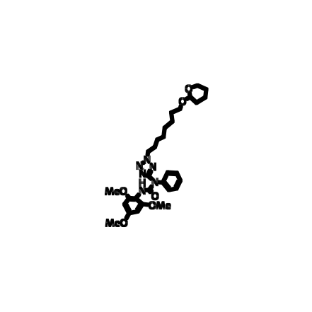 COc1cc(OC)c(NC(=O)N(c2ccccc2)c2nnn(CCCCCCCCOC3CCCCO3)n2)c(OC)c1